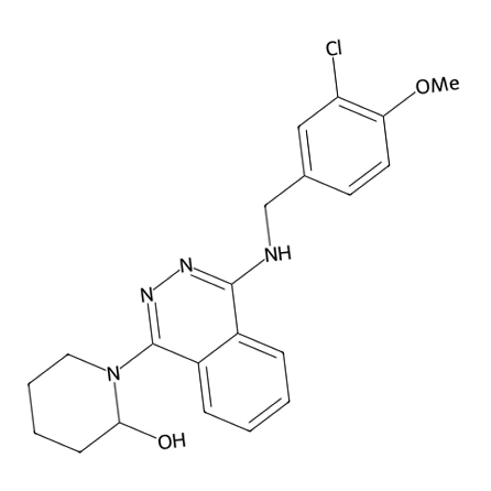 COc1ccc(CNc2nnc(N3CCCCC3O)c3ccccc23)cc1Cl